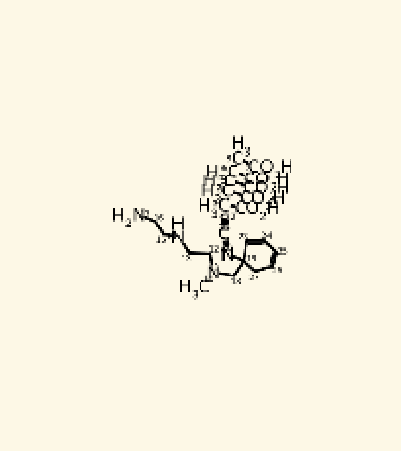 CC(=O)O.CC(=O)O.CC(=O)O.CC(=O)O.CC(=O)O.CN(CCNCCN)CC1(N=C=S)C=CC=CC1